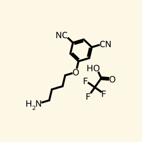 N#Cc1cc(C#N)cc(OCCCCN)c1.O=C(O)C(F)(F)F